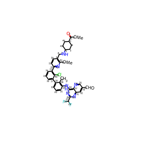 COC(=O)C1CCC(NCc2ccc(-c3cccc(-c4cccc(Nc5nc(C(F)F)nc6cc(C=O)cnc56)c4C)c3Cl)nc2OC)CC1